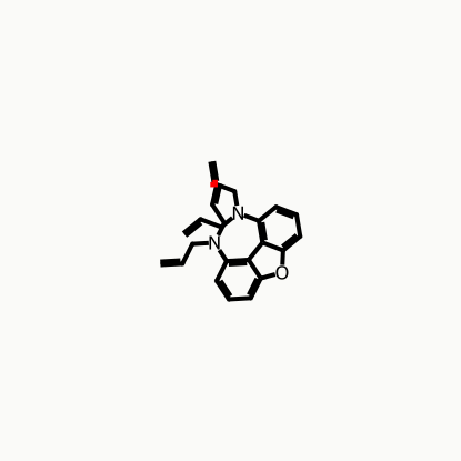 C=CCN(CC=C)c1cccc2oc3cccc(N(CC=C)CC=C)c3c12